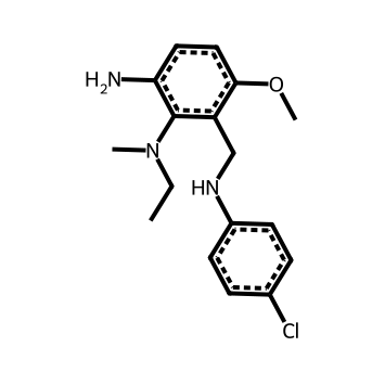 CCN(C)c1c(N)ccc(OC)c1CNc1ccc(Cl)cc1